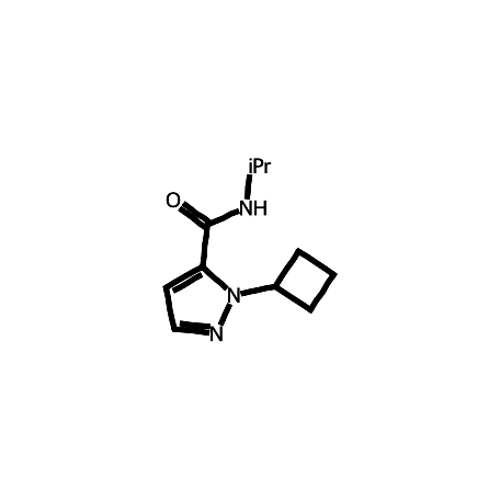 CC(C)NC(=O)c1ccnn1C1CCC1